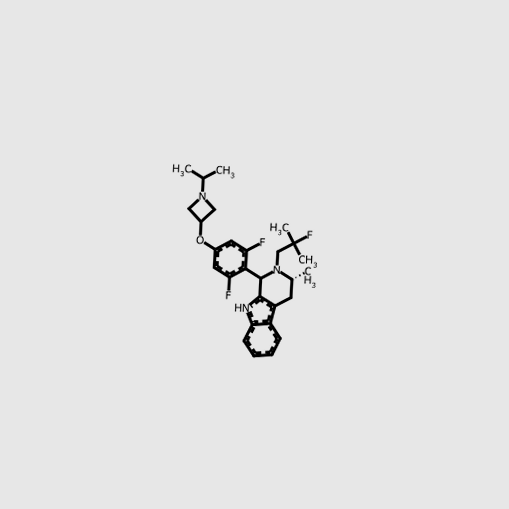 CC(C)N1CC(Oc2cc(F)c(C3c4[nH]c5ccccc5c4C[C@@H](C)N3CC(C)(C)F)c(F)c2)C1